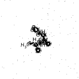 COCCN1C[C@@H](NC(=O)Nc2c(C)c(-c3ccnc(C(=O)NC4CCS(=O)(=O)CC4)c3)nn2-c2ccccc2)[C@H](c2ccccc2)C1